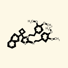 COc1ccc(CC/N=c2/scc(C3(c4ccc5ccccc5c4)CCC3)n2CCc2ccc(OC)c(OC)c2)cc1OC